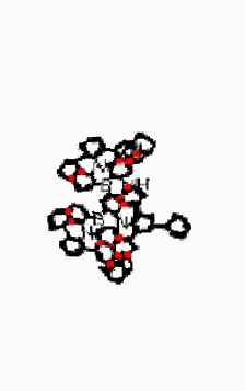 c1ccc(-c2cc(-c3ccccc3)c(N3c4cc5c(cc4B4c6ccccc6N(c6c(-c7ccccc7)cccc6-c6ccccc6)c6cc(N7C8CC9CC(C8)CC7C9)cc3c64)B3c4ccccc4N(c4c(-c6ccccc6)cccc4-c4ccccc4)c4cc(N6C7CCCC6CCC7)cc(c43)N5)c(-c3ccccc3)c2)cc1